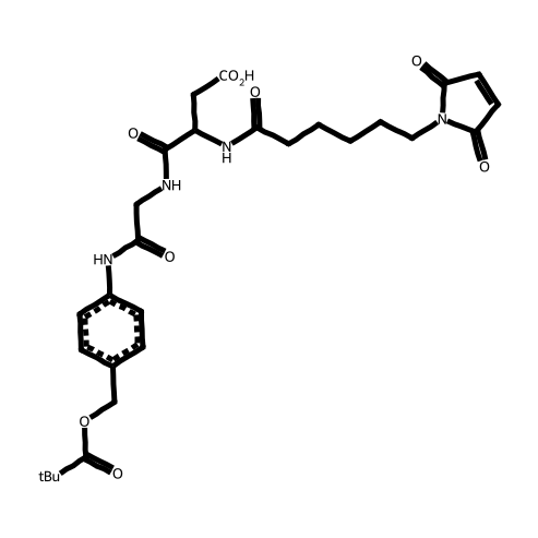 CC(C)(C)C(=O)OCc1ccc(NC(=O)CNC(=O)C(CC(=O)O)NC(=O)CCCCCN2C(=O)C=CC2=O)cc1